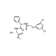 CC(C)[C@H](NC(=O)C(NC(=O)COc1cc(Cl)cc(Cl)c1)c1ccccc1)C(=O)C(F)(F)F